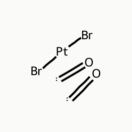 [Br][Pt][Br].[C]=O.[C]=O